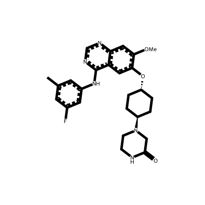 COc1cc2ncnc(Nc3cc(C)cc(F)c3)c2cc1O[C@H]1CC[C@H](N2CCNC(=O)C2)CC1